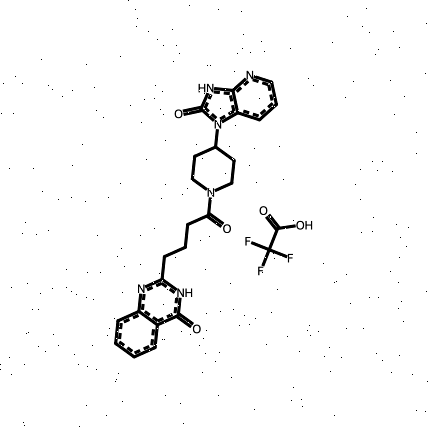 O=C(CCCc1nc2ccccc2c(=O)[nH]1)N1CCC(n2c(=O)[nH]c3ncccc32)CC1.O=C(O)C(F)(F)F